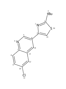 CC(C)(C)c1nc(-c2cnc3ccc(Cl)cc3c2)cs1